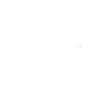 Cc1ccc(Cl)cc1[C]1CC1